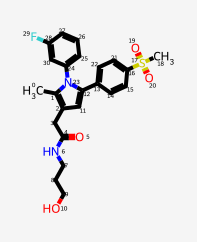 Cc1c(CC(=O)NCCCO)cc(-c2ccc(S(C)(=O)=O)cc2)n1-c1cccc(F)c1